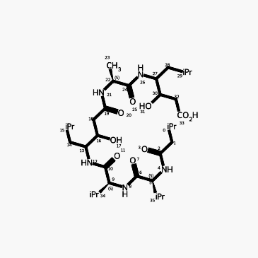 CC(C)CC(=O)N[C@H](C(=O)N[C@H](C(=O)NC(CC(C)C)C(O)CC(=O)N[C@@H](C)C(=O)NC(CC(C)C)C(O)CC(=O)O)C(C)C)C(C)C